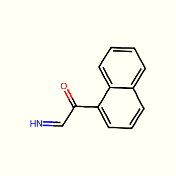 N=CC(=O)c1cccc2ccccc12